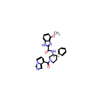 COc1cccc2[nH]c(C(=O)N[C@@H]3CN(C(=O)c4cccn5cncc45)CC[C@H]3c3ccccc3)nc12